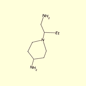 CCC(CN)N1CCC(N)CC1